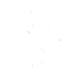 CCOC(=O)c1c(N(O)C=O)sc(N=CN(C)C)c1C#N